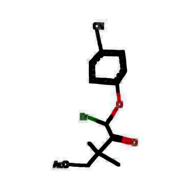 CC(=O)OCC(C)(C)C(=O)C(Br)Oc1ccc(C#N)cc1